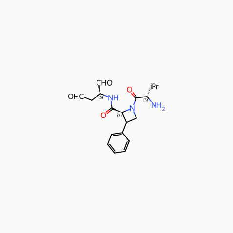 CC(C)[C@H](N)C(=O)N1CC(c2ccccc2)[C@H]1C(=O)N[C@H](C=O)CC=O